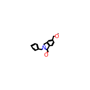 COCc1ccc2c(c1)CN(Cc1ccccc1)C2C=O